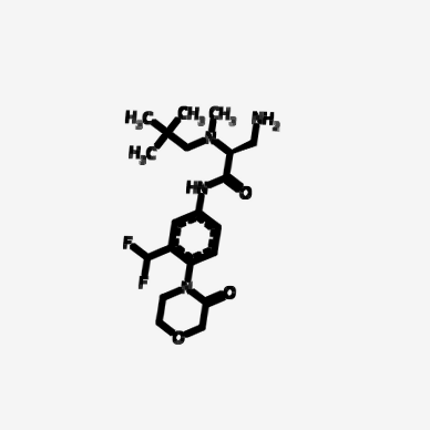 CN(CC(C)(C)C)[C@@H](CN)C(=O)Nc1ccc(N2CCOCC2=O)c(C(F)F)c1